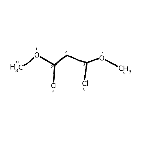 COC(Cl)CC(Cl)OC